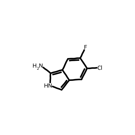 Nc1[nH]cc2cc(Cl)c(F)cc12